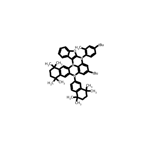 Cc1cc(C(C)(C)C)ccc1N1c2cc(C(C)(C)C)cc3c2B(c2cc4c(cc2N3c2ccc3c(c2)C(C)(C)CCC3(C)C)C(C)(C)CCC4(C)C)c2c1oc1ccccc21